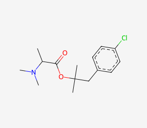 CC(C(=O)OC(C)(C)Cc1ccc(Cl)cc1)N(C)C